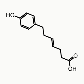 O=C(O)CC/C=C/CCc1ccc(O)cc1